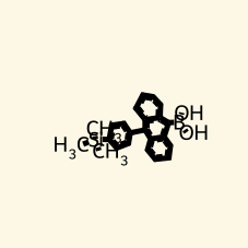 C[Si](C)(C)c1ccc(-c2c3ccccc3c(B(O)O)c3ccccc23)cc1